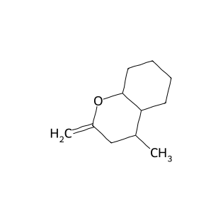 C=C1CC(C)C2CCCCC2O1